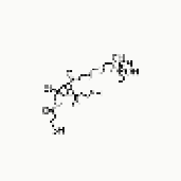 CCC(COC(=O)CCS)(COC(=O)CCS)COC(=O)CCSCOCC(C)OP(=O)(O)O